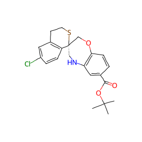 CC(C)(C)OC(=O)c1ccc2c(c1)NC[C@@]1(CO2)SCCc2cc(Cl)ccc21